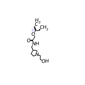 C=C/C(=C\C)OCC(=O)NCC1CCN(CCO)C1